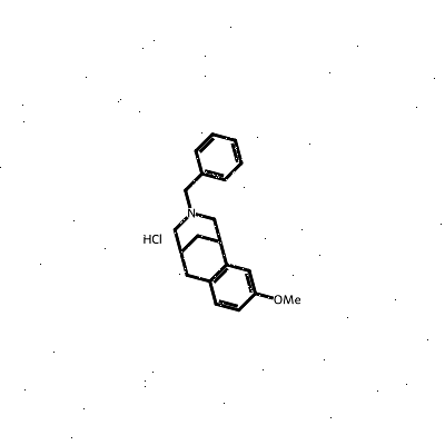 COc1ccc2c(c1)C1CC(C2)CN(Cc2ccccc2)C1.Cl